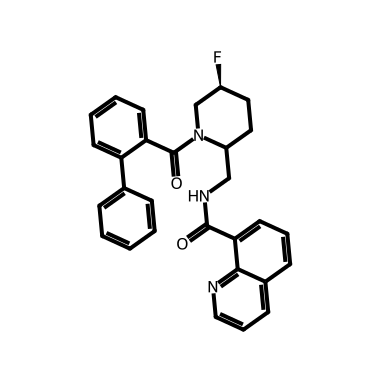 O=C(NCC1CC[C@H](F)CN1C(=O)c1ccccc1-c1ccccc1)c1cccc2cccnc12